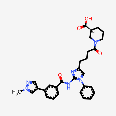 Cn1cc(-c2cccc(C(=O)Nc3nc(CCCC(=O)N4CCC[C@H](C(=O)O)C4)cn3-c3ccccc3)c2)cn1